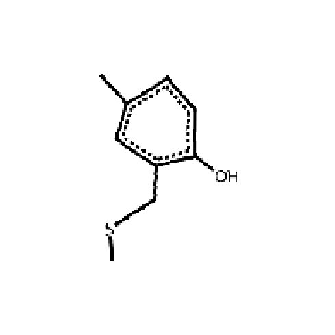 CSCc1cc(C)ccc1O